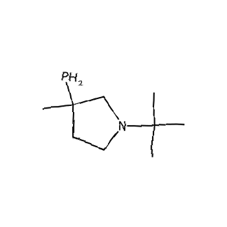 CC1(P)CCN(C(C)(C)C)C1